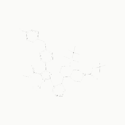 COC(=O)c1c(-c2ccc(Oc3ccc(F)cc3)cc2)nc(-c2ccccc2C(CCO[Si](C)(C)C(C)(C)C)C2CCN(C(=O)OC(C)(C)C)CC2)n1N